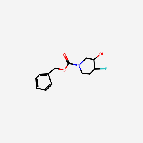 O=C(OCc1ccccc1)N1CCC(F)C(O)C1